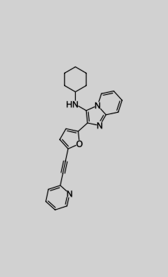 C(#Cc1ccc(-c2nc3ccccn3c2NC2CCCCC2)o1)c1ccccn1